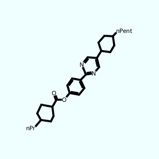 CCCCCC1CCC(c2cnc(-c3ccc(OC(=O)C4CCC(CCC)CC4)cc3)nc2)CC1